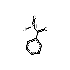 O=C(c1ccccc1)[PH](=O)Cl